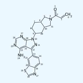 C=CC(=O)N1CC2CCC(n3nc(-c4ccc5ncsc5c4)c4c(N)ncnc43)CC2C1